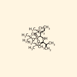 C=C(C)C(=O)NC(CCC)[Si](O[Si](C)(C)C)(O[Si](C)(C)C)O[Si](C)(C)C